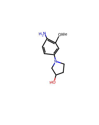 COc1cc(N2CCC(O)C2)ccc1N